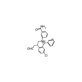 NC(=O)c1cccc(NCC(CC=O)c2ccc(Cl)cc2Oc2cccnc2)c1